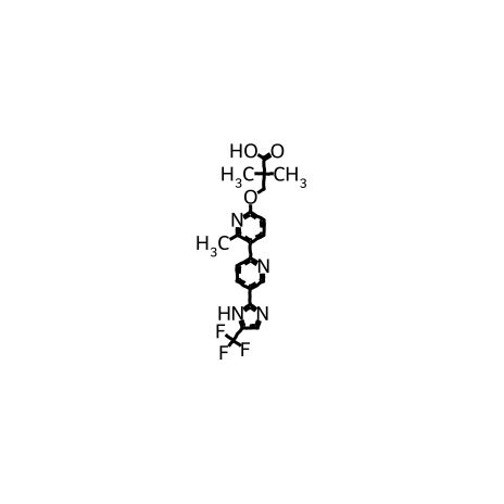 Cc1nc(OCC(C)(C)C(=O)O)ccc1-c1ccc(-c2ncc(C(F)(F)F)[nH]2)cn1